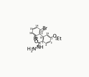 CCOc1ccc(C(=O)NN)c(-c2c(Br)cccc2Br)c1